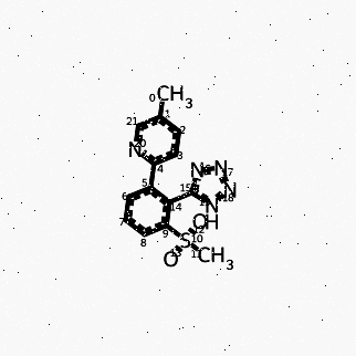 Cc1ccc(-c2cccc(S(C)(=O)=O)c2-c2nnn[nH]2)nc1